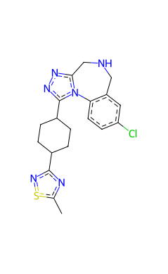 Cc1nc(C2CCC(c3nnc4n3-c3ccc(Cl)cc3CNC4)CC2)ns1